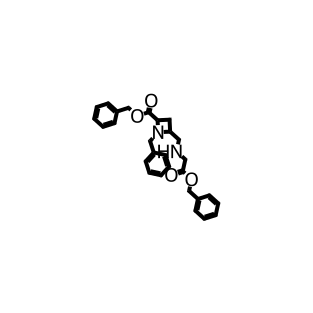 O=C(CNCC1CC(C(=O)OCc2ccccc2)N1Cc1ccccc1)OCc1ccccc1